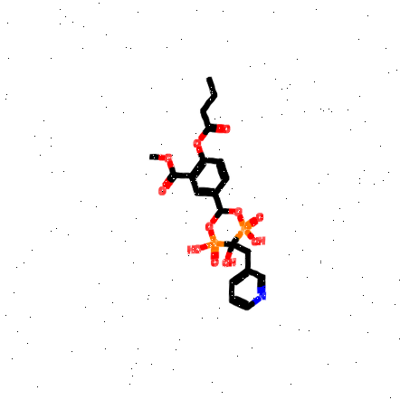 CCCC(=O)Oc1ccc(C2OP(=O)(O)C(O)(Cc3cccnc3)P(=O)(O)O2)cc1C(=O)OC